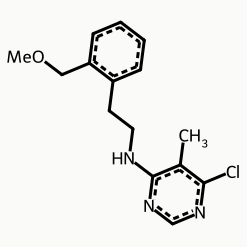 COCc1ccccc1CCNc1ncnc(Cl)c1C